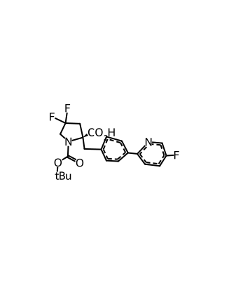 CC(C)(C)OC(=O)N1CC(F)(F)C[C@@]1(Cc1ccc(-c2ccc(F)cn2)cc1)C(=O)O